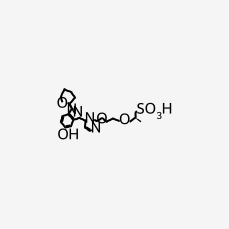 C[C@@H](COCCCOc1nccc(-c2nn(C3CCCCO3)c3ccc(O)cc23)n1)CS(=O)(=O)O